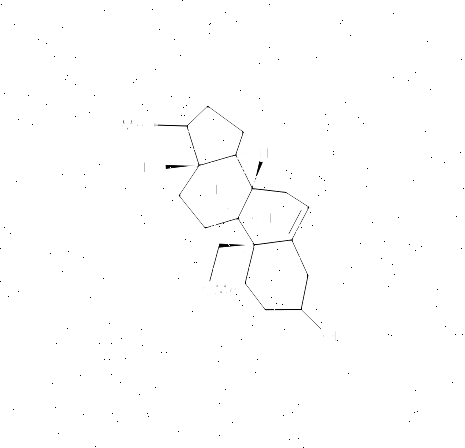 COC[C@]12CCC(O)CC1=CC[C@@H]1[C@@H]2CC[C@]2(C)C(OC)CC[C@@H]12